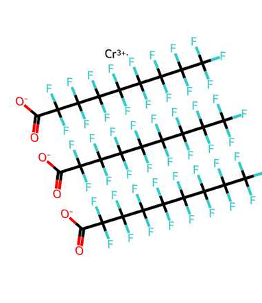 O=C([O-])C(F)(F)C(F)(F)C(F)(F)C(F)(F)C(F)(F)C(F)(F)C(F)(F)C(F)(F)F.O=C([O-])C(F)(F)C(F)(F)C(F)(F)C(F)(F)C(F)(F)C(F)(F)C(F)(F)C(F)(F)F.O=C([O-])C(F)(F)C(F)(F)C(F)(F)C(F)(F)C(F)(F)C(F)(F)C(F)(F)C(F)(F)F.[Cr+3]